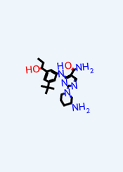 CCC(O)c1cc(Nc2nc(N3CCCC(N)C3)ncc2C(N)=O)cc(C(C)(C)C)c1